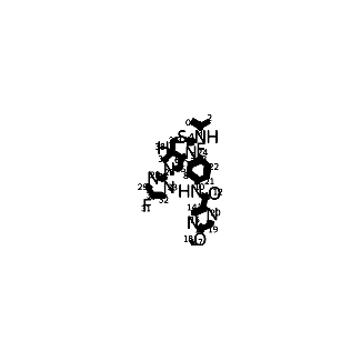 C=C(C)NC1=N[C@@]2(c3cc(NC(=O)c4cnc(OC)cn4)ccc3F)CN(c3ncc(F)cn3)C[C@H]2CS1